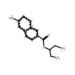 CCC(CC)OC(=O)c1ccc2cc(O)ccc2c1